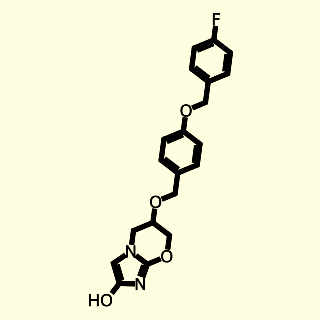 Oc1cn2c(n1)OCC(OCc1ccc(OCc3ccc(F)cc3)cc1)C2